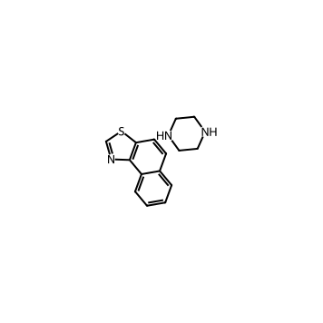 C1CNCCN1.c1ccc2c(c1)ccc1scnc12